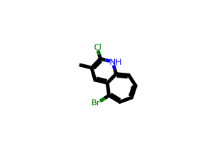 CC1=C(Cl)NC2=CC=CC=C(Br)C2=C1